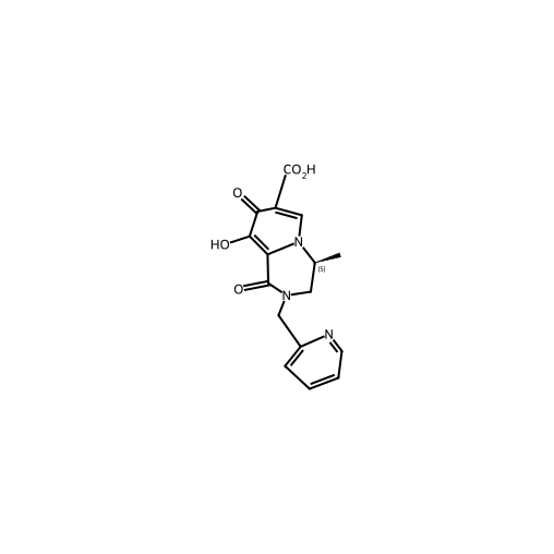 C[C@H]1CN(Cc2ccccn2)C(=O)c2c(O)c(=O)c(C(=O)O)cn21